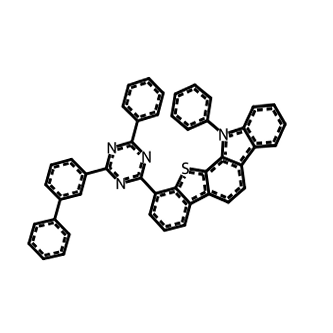 c1ccc(-c2cccc(-c3nc(-c4ccccc4)nc(-c4cccc5c4sc4c5ccc5c6ccccc6n(-c6ccccc6)c54)n3)c2)cc1